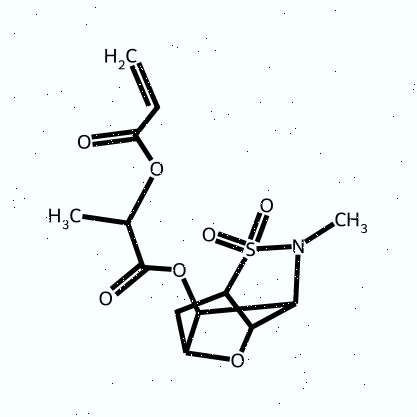 C=CC(=O)OC(C)C(=O)OC1C2CC3C(O2)C1N(C)S3(=O)=O